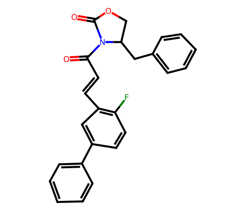 O=C(C=Cc1cc(-c2ccccc2)ccc1F)N1C(=O)OCC1Cc1ccccc1